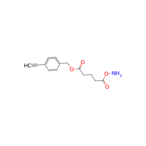 C#CC1=C=C=C(COC(=O)CCCC(=O)ON)C=C1